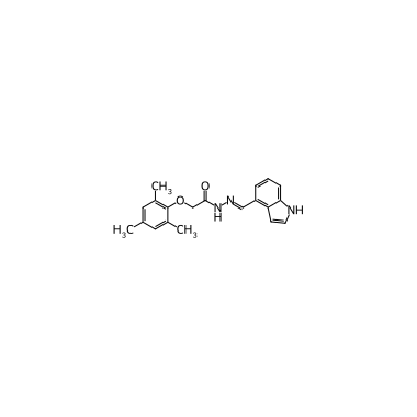 Cc1cc(C)c(OCC(=O)N/N=C/c2cccc3[nH]ccc23)c(C)c1